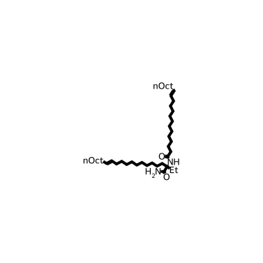 CCCCCCCCC=CCCCCCCCCCCCC(=O)NC(CC)(CCCCCCCCCCC=CCCCCCCCC)C(N)=O